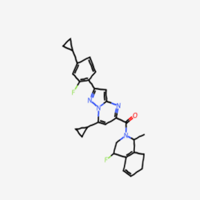 CC1C2=C(C=CCC2)C(F)CN1C(=O)c1cc(C2CC2)n2nc(-c3ccc(C4CC4)cc3F)cc2n1